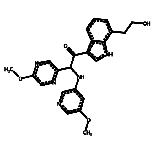 COc1cncc(NC(C(=O)c2c[nH]c3c(CCO)cccc23)c2cnc(OC)cn2)c1